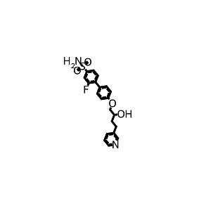 NS(=O)(=O)c1ccc(-c2ccc(OCC(O)CCc3cccnc3)cc2)c(F)c1